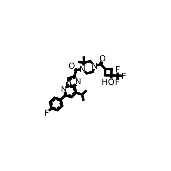 CC(C)c1cc(-c2ccc(F)cc2)nn2cc(C(=O)N3CCN(C(=O)C4CC(O)(C(F)(F)F)C4)CC3(C)C)nc12